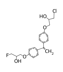 C=C(c1ccc(OCC(O)CF)cc1)c1ccc(OCC(O)CCl)cc1